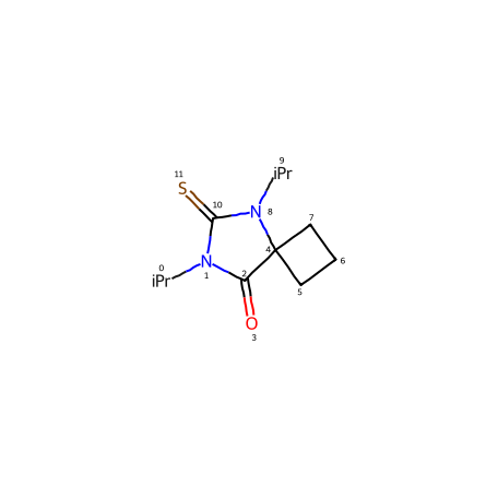 CC(C)N1C(=O)C2(CCC2)N(C(C)C)C1=S